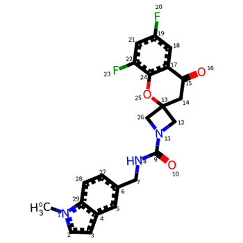 Cn1ccc2cc(CNC(=O)N3CC4(CC(=O)c5cc(F)cc(F)c5O4)C3)ccc21